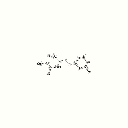 CC(C)(C)OC(=O)NC(COc1cncc(F)c1)C(=O)O